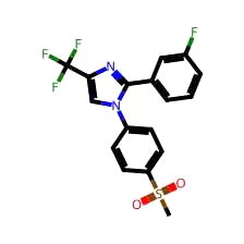 CS(=O)(=O)c1ccc(-n2cc(C(F)(F)F)nc2-c2cccc(F)c2)cc1